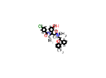 Cc1c(C(C)C(=O)N(C)CCC(Oc2ccc(C(F)(F)F)cc2)c2ccccc2)c2cc(O)ccc2n1C(=O)c1ccc(Cl)cc1